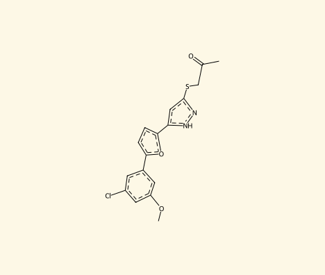 COc1cc(Cl)cc(-c2ccc(-c3cc(SCC(C)=O)n[nH]3)o2)c1